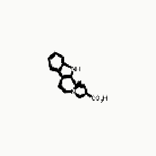 O=C(O)C1CN2C=Cc3c([nH]c4ccccc34)C23C=CC=C13